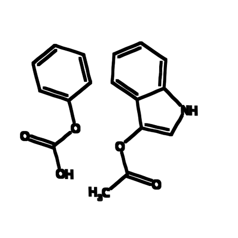 CC(=O)Oc1c[nH]c2ccccc12.O=C(O)Oc1ccccc1